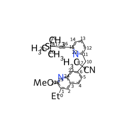 CCc1cc2ccc(C(C)(C#N)Cc3cccc(C#C[Si](C)(C)C)n3)cc2nc1OC